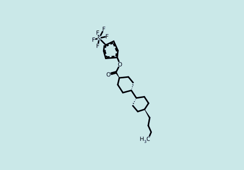 CCCC[C@H]1CC[C@H]([C@H]2CC[C@H](C(=O)Oc3ccc(S(F)(F)(F)(F)F)cc3)CC2)CC1